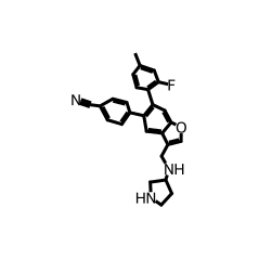 Cc1ccc(-c2cc3occ(CNC4CCNC4)c3cc2-c2ccc(C#N)cc2)c(F)c1